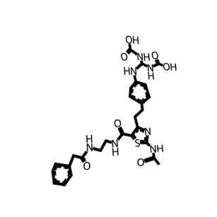 CC(=O)Nc1nc(CCc2ccc(NC(NC(=O)O)NC(=O)O)cc2)c(C(=O)NCCNC(=O)Cc2ccccc2)s1